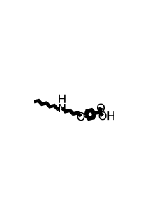 CCCCCCCNCCCCOc1ccc(C(=O)O)cc1